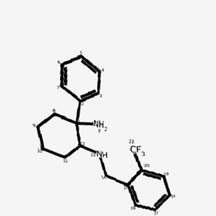 NC1(c2ccccc2)CCCCC1NCc1ccccc1C(F)(F)F